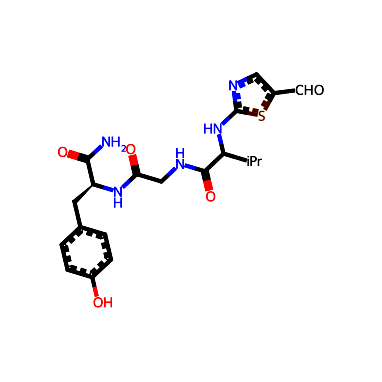 CC(C)C(Nc1ncc(C=O)s1)C(=O)NCC(=O)N[C@@H](Cc1ccc(O)cc1)C(N)=O